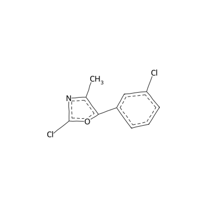 Cc1nc(Cl)oc1-c1cccc(Cl)c1